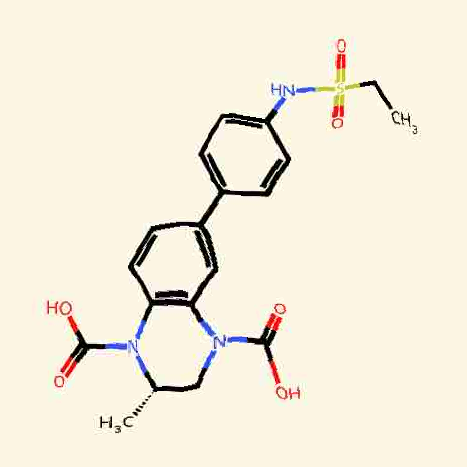 CCS(=O)(=O)Nc1ccc(-c2ccc3c(c2)N(C(=O)O)C[C@H](C)N3C(=O)O)cc1